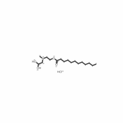 CCCCCCCCCCCC(=O)OCCN(C)CC(O)O.Cl